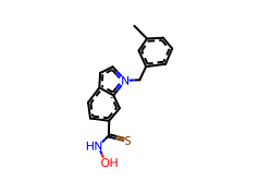 Cc1cccc(Cn2ccc3ccc(C(=S)NO)cc32)c1